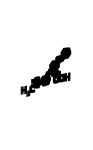 Cc1cc(-c2cccc(Cn3cc(CC(=O)O)c4cc(OCc5ccccc5)ccc43)c2)on1